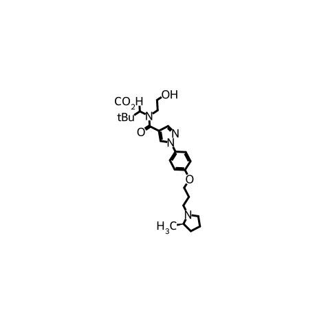 C[C@@H]1CCCN1CCCOc1ccc(-n2cc(C(=O)N(CCO)C(C(=O)O)C(C)(C)C)cn2)cc1